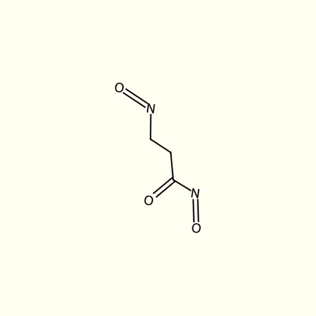 O=NCCC(=O)N=O